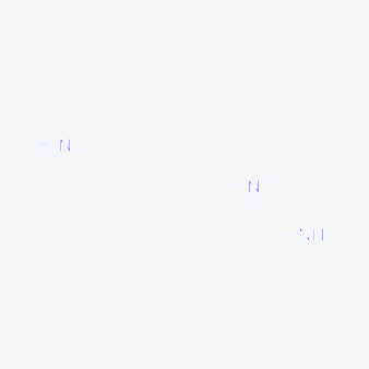 Nc1ccc(N2CCNC2)cc1